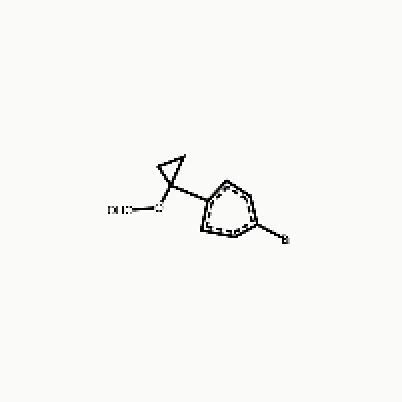 O=COC1(c2ccc(Br)cc2)CC1